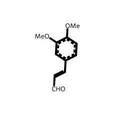 COc1ccc(/C=C/C=O)cc1OC